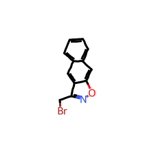 BrCc1noc2cc3ccccc3cc12